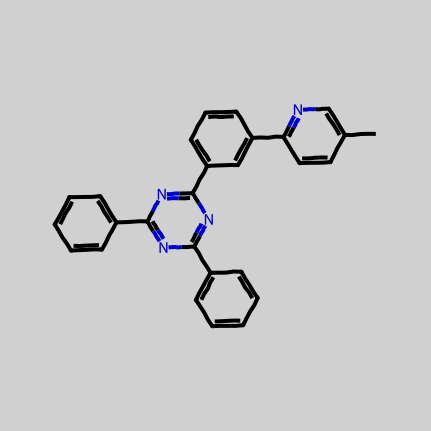 Cc1ccc(-c2cccc(-c3nc(-c4ccccc4)nc(-c4ccccc4)n3)c2)nc1